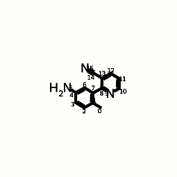 Cc1ccc(N)cc1-c1ncccc1C#N